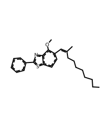 CCCCCCCCC(C)=Cc1ccc2sc(-c3ccccc3)nc2c1OC